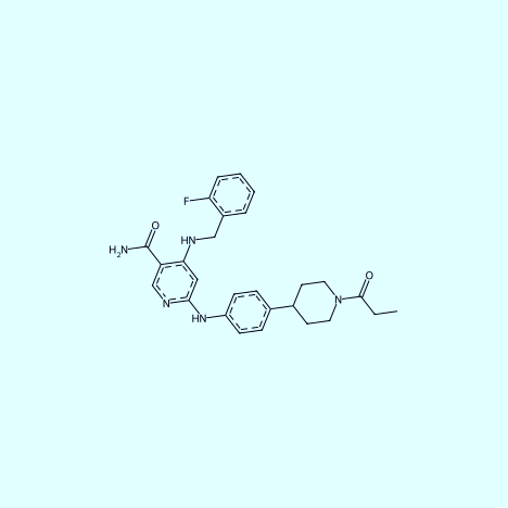 CCC(=O)N1CCC(c2ccc(Nc3cc(NCc4ccccc4F)c(C(N)=O)cn3)cc2)CC1